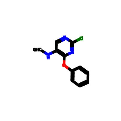 O=CNc1cnc(Cl)nc1Oc1ccccc1